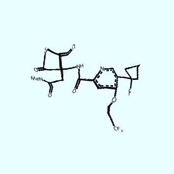 CNC(=O)CC1(NC(=O)c2cc(OCC(F)(F)F)c(C3(F)CCC3)cn2)C(=O)SC1=O